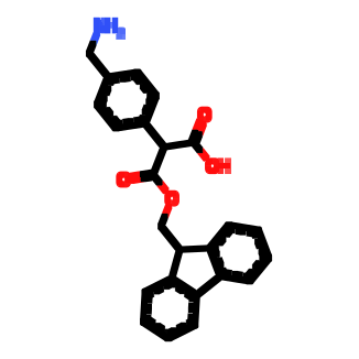 NCc1ccc(C(C(=O)O)C(=O)OCC2c3ccccc3-c3ccccc32)cc1